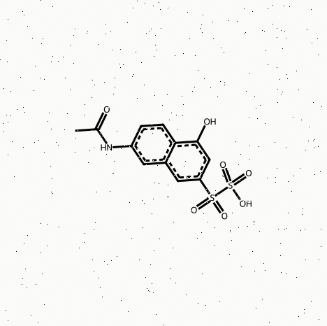 CC(=O)Nc1ccc2c(O)cc(S(=O)(=O)S(=O)(=O)O)cc2c1